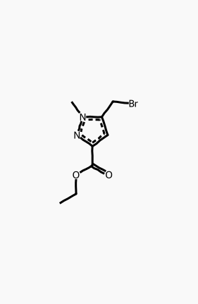 CCOC(=O)c1cc(CBr)n(C)n1